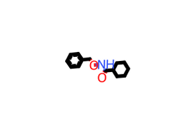 O=C(NOCc1ccccc1)C1CCCCC1